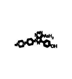 CN1CCN(C2CCC(n3nc(-c4ccc(O)cc4)c4c([AsH2])ncnc43)CC2)CC1